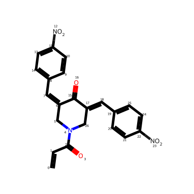 C=CC(=O)N1C/C(=C/c2ccc([N+](=O)[O-])cc2)C(=O)/C(=C/c2ccc([N+](=O)[O-])cc2)C1